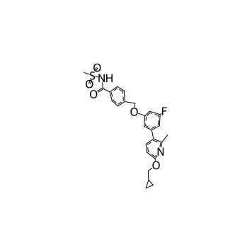 Cc1nc(OCC2CC2)ccc1-c1cc(F)cc(OCc2ccc(C(=O)NS(C)(=O)=O)cc2)c1